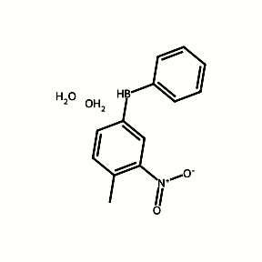 Cc1ccc(Bc2ccccc2)cc1[N+](=O)[O-].O.O